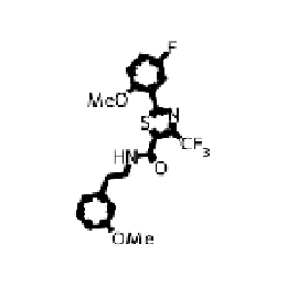 COc1cccc(CCNC(=O)c2sc(-c3cc(F)ccc3OC)nc2C(F)(F)F)c1